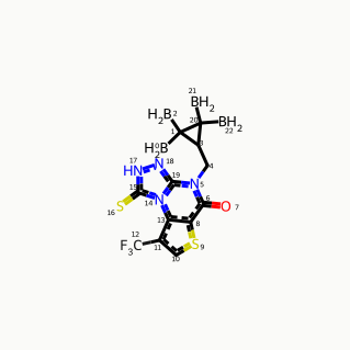 BC1(B)C(Cn2c(=O)c3scc(C(F)(F)F)c3n3c(=S)[nH]nc23)C1(B)B